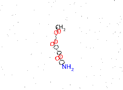 C=CC(=O)OCCCCOC(=O)c1ccc(-c2ccc(OC(=O)c3ccc(N)cc3)cc2)cc1